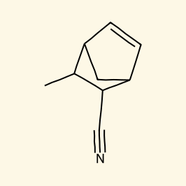 CC1C2C=CC(C2)C1C#N